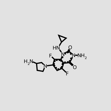 NC1CCN(c2cc(F)c3c(=O)n(N)c(=O)n(NC4CC4)c3c2F)C1